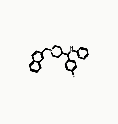 Fc1ccc(C(Nc2ccccc2)C2CCN(Cc3ccc4ccccc4c3)CC2)cc1